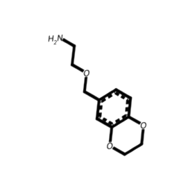 NCCOCc1ccc2c(c1)OCCO2